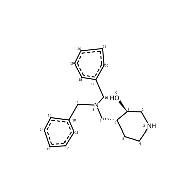 O[C@H]1CNCC[C@@H]1CN(Cc1ccccc1)Cc1ccccc1